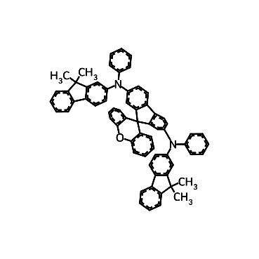 CC1(C)c2ccccc2-c2ccc(N(c3ccccc3)c3ccc4c(c3)C3(c5ccccc5Oc5ccccc53)c3cc(N(c5ccccc5)c5ccc6c(c5)C(C)(C)c5ccccc5-6)ccc3-4)cc21